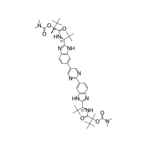 CN(C)C(=O)OC(C)(C(=O)N[C@H](c1nc2ccc(-c3ncc(-c4ccc5nc([C@@H](NC(=O)[C@](C)(OC(=O)N(C)C)C(C)(C)C)C(C)(C)C)[nH]c5c4)cn3)cc2[nH]1)C(C)(C)C)C(C)(C)C